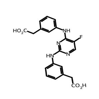 O=C(O)Cc1cccc(Nc2ncc(F)c(Nc3cccc(CC(=O)O)c3)n2)c1